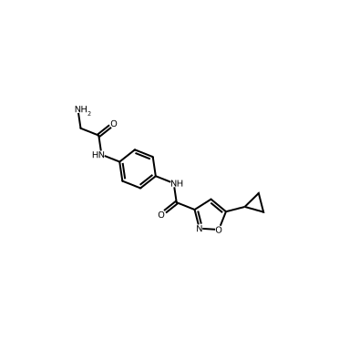 NCC(=O)Nc1ccc(NC(=O)c2cc(C3CC3)on2)cc1